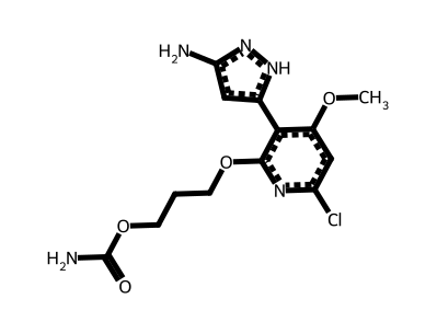 COc1cc(Cl)nc(OCCCOC(N)=O)c1-c1cc(N)n[nH]1